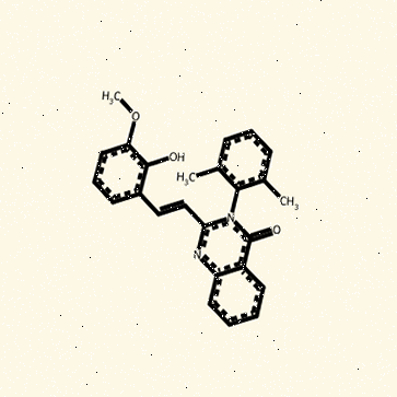 COc1cccc(/C=C/c2nc3ccccc3c(=O)n2-c2c(C)cccc2C)c1O